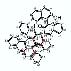 Oc1ccc2ccccc2c1-c1c(O)ccc2ccccc12.c1ccc(P(c2ccccc2)c2ccc3ccccc3c2-c2c(P(c3ccccc3)c3ccccc3)ccc3ccccc23)cc1